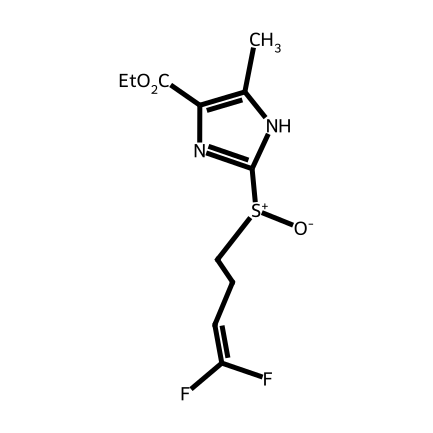 CCOC(=O)c1nc([S+]([O-])CCC=C(F)F)[nH]c1C